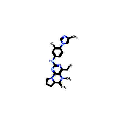 C=C1C2CCCN2c2nc(Nc3ccc(-n4cnc(C)c4)c(C#N)c3)nc(CC(C)C)c2N1C